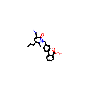 CCCc1cc(C#N)c(=O)n(Cc2ccc(-c3ccccc3C(=O)O)cc2)c1C